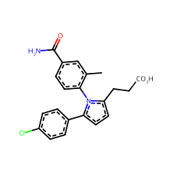 Cc1cc(C(N)=O)ccc1-n1c(CCC(=O)O)ccc1-c1ccc(Cl)cc1